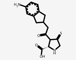 Nc1ccc2c(c1)CC(CC(=O)C1C(=S)CN[C@@H]1C(=O)O)C2